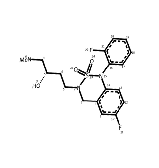 CNC[C@@H](O)CCN1Cc2cc(F)ccc2N(c2ccccc2F)S1(=O)=O